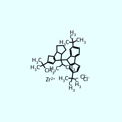 CC(C)C1(C2c3cc(C(C)(C)C)ccc3-c3ccc(C(C)(C)C)cc32)C2=C(CC(C(C)(C)C)=C2)C2CCCC21.[Cl-].[Cl-].[Zr+2]